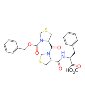 O=C(O)C(=O)[C@H](Cc1ccccc1)NC(=O)[C@@H]1CSCN1C(=O)[C@@H]1CSCN1C(=O)OCc1ccccc1